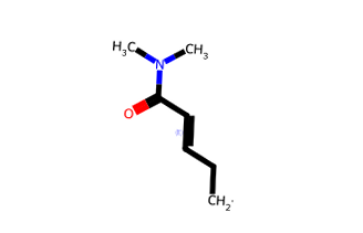 [CH2]C/C=C/C(=O)N(C)C